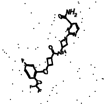 NC(=O)c1ccnc(N2CC(NC(=O)C3CC(Oc4cc(F)ccc4OC(F)F)C3)C2)n1